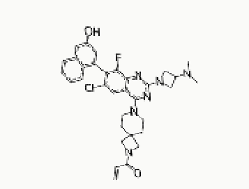 C=CC(=O)N1CC2(CCN(c3nc(N4CC(N(C)C)C4)nc4c(F)c(-c5cc(O)cc6ccccc56)c(Cl)cc34)CC2)C1